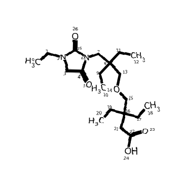 CCN1CC(=O)N(CC(CC)(CC)COCC(CC)(CC)CC(=O)O)C1=O